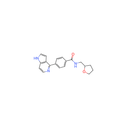 O=C(NCC1CCCO1)c1ccc(-c2nccc3[nH]ccc23)cc1